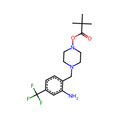 CC(C)(C)C(=O)ON1CCN(Cc2ccc(C(F)(F)F)cc2N)CC1